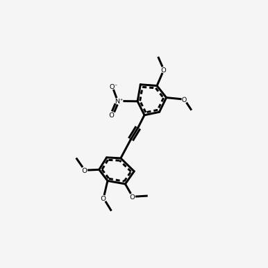 COc1cc(C#Cc2cc(OC)c(OC)c(OC)c2)c([N+](=O)[O-])cc1OC